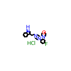 Cl.Fc1ccc(N2CCN(CCc3c[nH]c4ccccc34)CC2)c(N2CCOCC2)c1